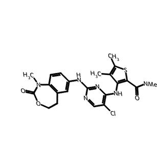 CNC(=O)c1sc(C)c(C)c1Nc1nc(Nc2ccc3c(c2)CCOC(=O)N3C)ncc1Cl